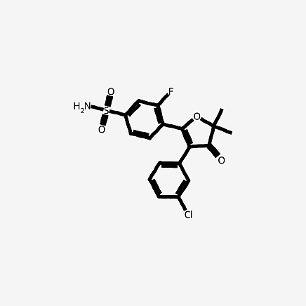 CC1(C)OC(c2ccc(S(N)(=O)=O)cc2F)=C(c2cccc(Cl)c2)C1=O